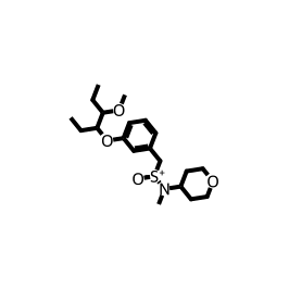 CCC(OC)C(CC)Oc1cccc(C[S+]([O-])N(C)C2CCOCC2)c1